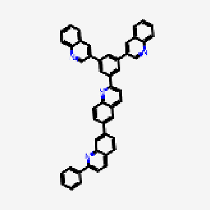 c1ccc(-c2ccc3ccc(-c4ccc5nc(-c6cc(-c7cnc8ccccc8c7)cc(-c7cnc8ccccc8c7)c6)ccc5c4)cc3n2)cc1